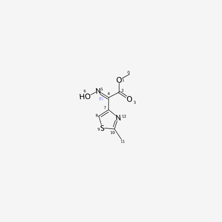 COC(=O)/C(=N/O)c1csc(C)n1